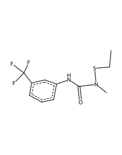 CCSN(C)C(=O)Nc1cccc(C(F)(F)F)c1